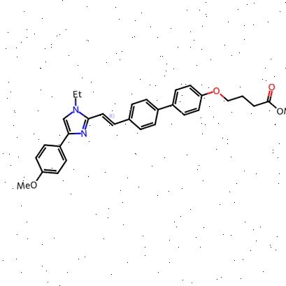 CCn1cc(-c2ccc(OC)cc2)nc1/C=C/c1ccc(-c2ccc(OCCCC(=O)OC)cc2)cc1